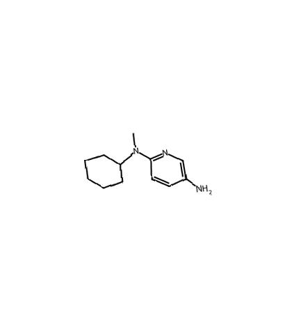 CN(c1ccc(N)cn1)C1CCCCC1